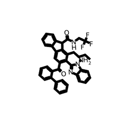 CCCCc1c(-c2nc3ccccc3n2N)c(C(=O)c2ccccc2-c2ccccc2)cc2c1C(C(=O)NCC(F)(F)F)c1ccccc1-2